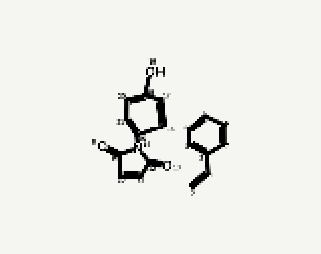 C=Cc1ccccc1.O=C1C=CC(=O)N1c1ccc(O)cc1